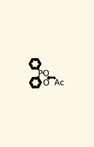 CC(=O)CC(=O)OP(c1ccccc1)c1ccccc1